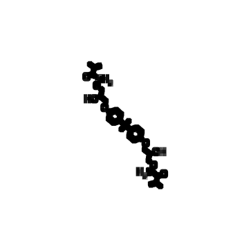 C=C(C)C(=O)[SiH2]OCC(O)COc1ccc(C(C)(C)c2ccc(OCC(O)CO[SiH2]C(=O)C(=C)C)cc2)cc1